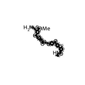 COC(=O)c1ccc(C(=O)N2CCC3(CC2)CN(C(=O)OCCOc2ccc(C(=O)c4ccc(-c5cc(C(=O)NC6CC6)ccc5C)cc4)cc2)C3)cc1C#CCN